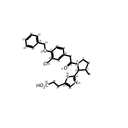 CC1CCN(C(=O)Cc2ccc(OCc3ccccc3)c(Cl)c2)C1c1ncc(CCC(=O)O)s1